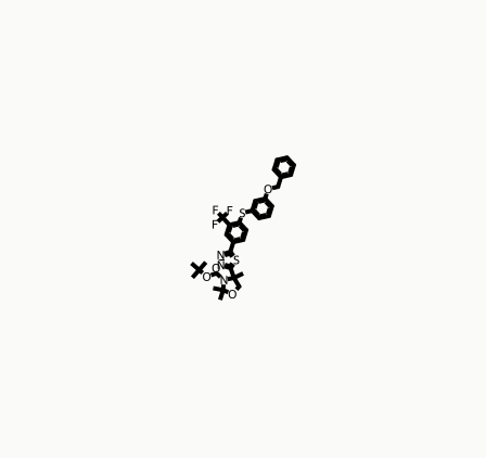 CC(C)(C)OC(=O)N1C(C)(C)OCC1(C)c1nnc(-c2ccc(Sc3cccc(OCc4ccccc4)c3)c(C(F)(F)F)c2)s1